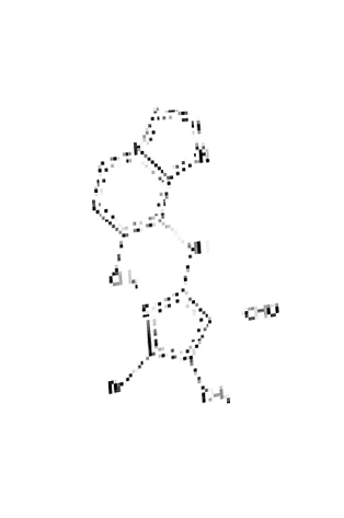 Cc1ccn2ccnc2c1Nc1sc(Br)c(C)c1C=O